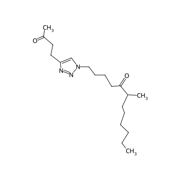 CCCCCCC(C)C(=O)CCCCn1cc(CCC(C)=O)nn1